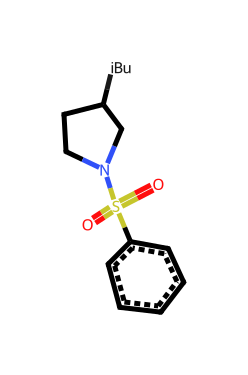 CCC(C)C1CCN(S(=O)(=O)c2ccccc2)C1